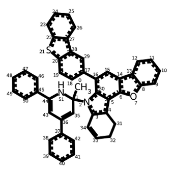 CC1(n2c3c(c4c5oc6ccccc6c5cc(-c5ccc6sc7ccccc7c6c5)c42)CCC=C3)C=C(c2ccccc2)C=C(c2ccccc2)N1